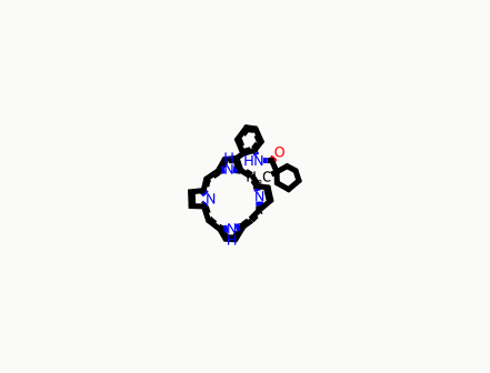 CC1(C(=O)Nc2ccccc2-c2cc3cc4nc(cc5ccc(cc6nc(cc2[nH]3)C=C6)[nH]5)C=C4)CCCCC1